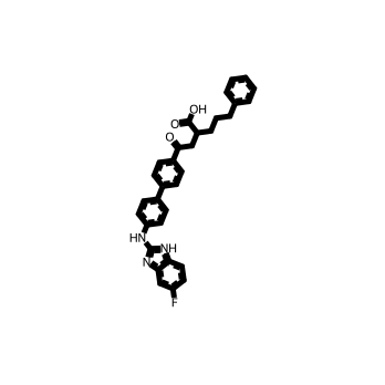 O=C(CC(CCCc1ccccc1)C(=O)O)c1ccc(-c2ccc(Nc3nc4cc(F)ccc4[nH]3)cc2)cc1